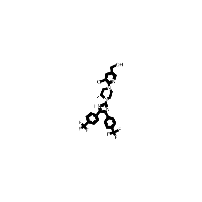 C[C@@H]1CN(c2ncc(CO)cc2Cl)CCN1c1nc(-c2ccc(C(F)(F)F)cc2)c(-c2ccc(C(F)(F)F)cc2)[nH]1